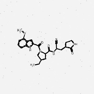 CCC1CC(C(=O)NC(C#N)CC2CCNC2=O)N(C(=O)c2cc3c(OC)cccc3[nH]2)C1